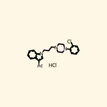 CC(=O)c1cn(CCCN2CCN(c3ccccc3Cl)CC2)c2ccccc12.Cl